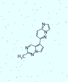 Cc1ncc2c(-c3ccc4nccn4n3)ccn2n1